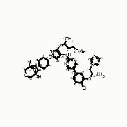 COCCC(C)Oc1nn([C@H]2CC[C@H](N3[C@@H]4CC[C@H]3COC4)CC2)cc1Nc1ncc(-c2ccc(Cl)c(O[C@@H](C)Cn3cncn3)c2)cn1